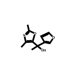 Cc1nc(C)c(C(C)(O)c2ccoc2)o1